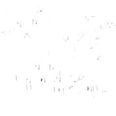 CCNc1nc(Cl)nc(NC(C)C)n1.CCc1ccc(COc2ccc(-n3c(=O)cc(C(F)(F)F)n(C)c3=O)cc2)c(OC(C)C(=O)OC)c1.O=C(O)CNCP(=O)(O)O